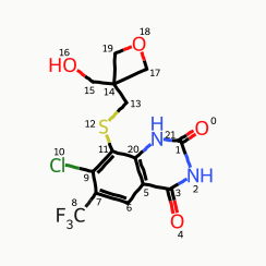 O=c1[nH]c(=O)c2cc(C(F)(F)F)c(Cl)c(SCC3(CO)COC3)c2[nH]1